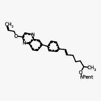 C=CCOc1cnc2cc(-c3ccc(/C=C/CCCC(C)OCCCCC)cc3)ccc2n1